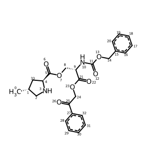 C[C@H]1CN[C@H](C(=O)OC[C@H](NC(=O)OCc2ccccc2)C(=O)OCC(=O)c2ccccc2)C1